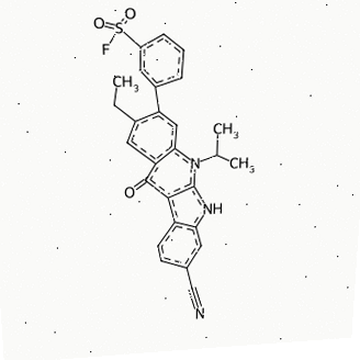 CCc1cc2c(=O)c3c4ccc(C#N)cc4[nH]c3n(C(C)C)c2cc1-c1cccc(S(=O)(=O)F)c1